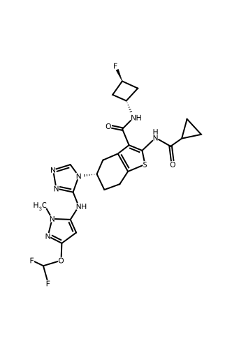 Cn1nc(OC(F)F)cc1Nc1nncn1[C@H]1CCc2sc(NC(=O)C3CC3)c(C(=O)N[C@H]3C[C@H](F)C3)c2C1